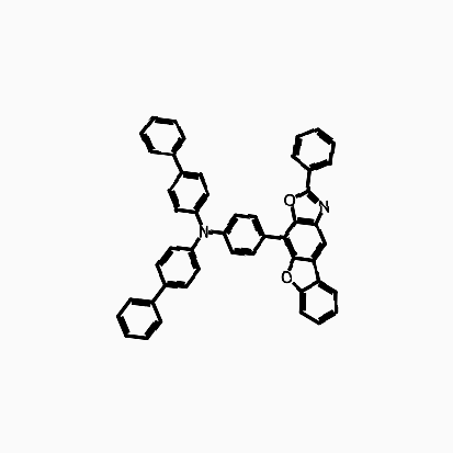 c1ccc(-c2ccc(N(c3ccc(-c4ccccc4)cc3)c3ccc(-c4c5oc(-c6ccccc6)nc5cc5c4oc4ccccc45)cc3)cc2)cc1